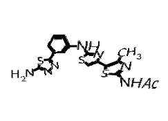 CC(=O)Nc1nc(C)c(-c2csc(Nc3cccc(-c4nnc(N)s4)c3)n2)s1